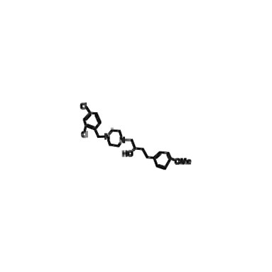 COc1ccc(CCC(O)CN2C[CH]N(Cc3ccc(Cl)cc3Cl)CC2)cc1